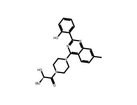 Cc1ccc2c(N3CCN(C(=O)[C@H](O)C(C)(C)C)CC3)nc(-c3ccccc3O)nc2c1